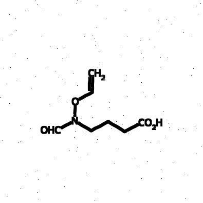 C=CON(C=O)CCCC(=O)O